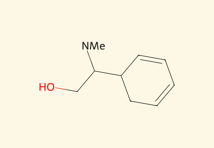 CNC(CO)C1C=CC=CC1